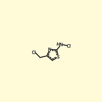 ClCc1csc(NCl)n1